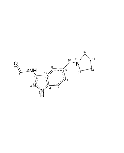 O=CNc1n[nH]c2ccc(CN3CCCC3)cc12